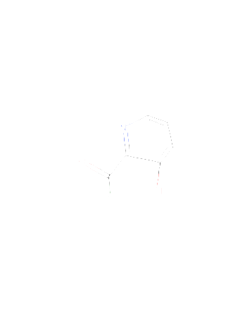 O=C(Cl)c1ncccc1O